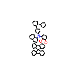 c1ccc(-c2ccccc2-c2ccc(N(c3cccc4c3Oc3c(ccc5c3-c3ccccc3C53c5ccccc5-c5ccccc53)O4)c3cccc4ccccc34)cc2)cc1